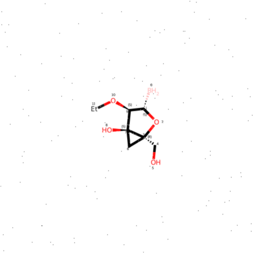 B[C@@H]1O[C@@]2(CO)C[C@]2(O)[C@H]1OCC